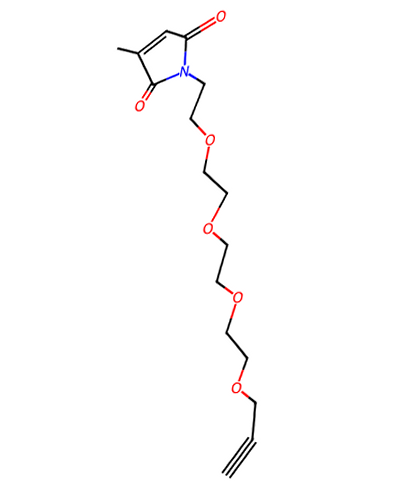 C#CCOCCOCCOCCOCCN1C(=O)C=C(C)C1=O